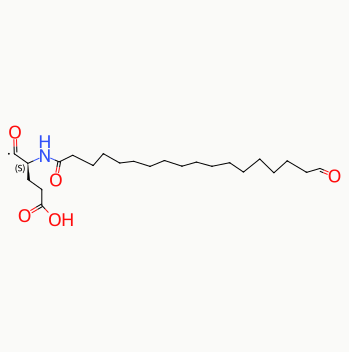 O=[C][C@H](CCC(=O)O)NC(=O)CCCCCCCCCCCCCCCCC=O